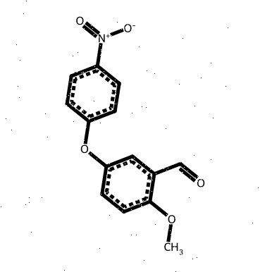 COc1ccc(Oc2ccc([N+](=O)[O-])cc2)cc1C=O